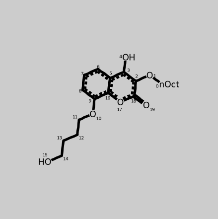 CCCCCCCCOc1c(O)c2cccc(OCCCCO)c2oc1=O